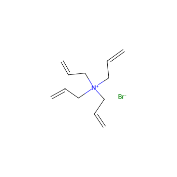 C=CC[N+](CC=C)(CC=C)CC=C.[Br-]